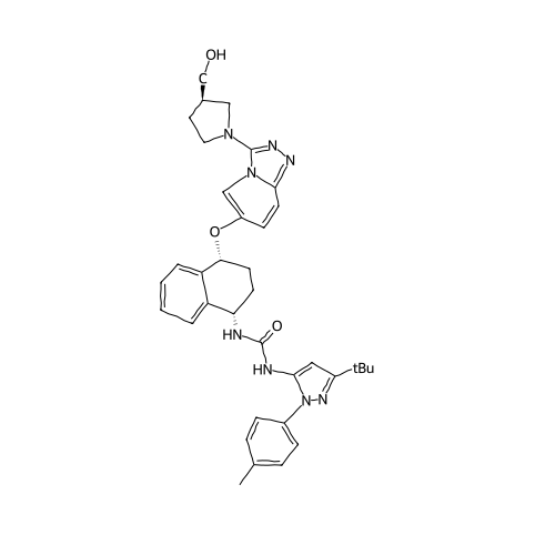 Cc1ccc(-n2nc(C(C)(C)C)cc2NC(=O)N[C@H]2CC[C@@H](Oc3ccc4nnc(N5CC[C@@H](CO)C5)n4c3)c3ccccc32)cc1